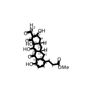 COC(=O)CCc1ccc(O)c2c1C[C@H]1C[C@H]3CC(O)=C(C(N)=O)C(=O)[C@@]3(O)C(O)=C1C2=O